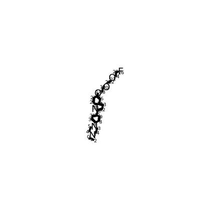 CC(C)N1CCN(c2ccc(-c3ccc4cc(OCCOCCOCCF)ccc4n3)cc2)CC1